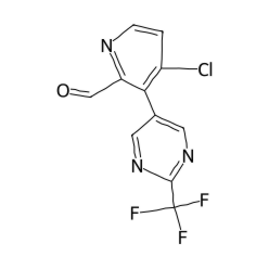 O=Cc1nccc(Cl)c1-c1cnc(C(F)(F)F)nc1